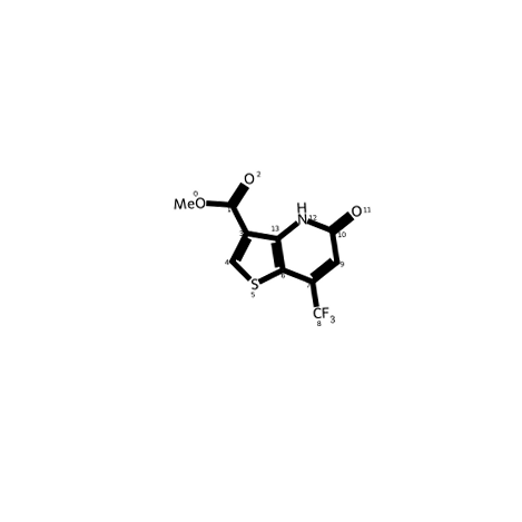 COC(=O)c1csc2c(C(F)(F)F)cc(=O)[nH]c12